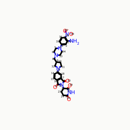 Nc1cc(N2CCN(CC3CCN(c4ccc5c(c4)C(=O)N(C4CCC(=O)NC4=O)C5=O)C3)CC2)ccc1[N+](=O)[O-]